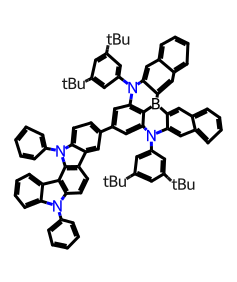 CC(C)(C)c1cc(N2c3cc4ccccc4cc3B3c4cc5ccccc5cc4N(c4cc(C(C)(C)C)cc(C(C)(C)C)c4)c4cc(-c5ccc6c(c5)c5ccc7c(c8ccccc8n7-c7ccccc7)c5n6-c5ccccc5)cc2c43)cc(C(C)(C)C)c1